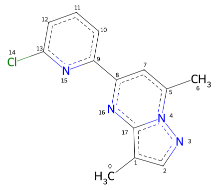 Cc1cnn2c(C)cc(-c3cccc(Cl)n3)nc12